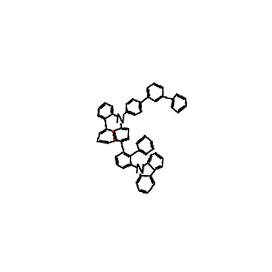 c1ccc(-c2cccc(-c3ccc(N(c4ccc(-c5cccc(-n6c7ccccc7c7ccccc76)c5-c5ccccc5)cc4)c4ccccc4-c4ccccc4)cc3)c2)cc1